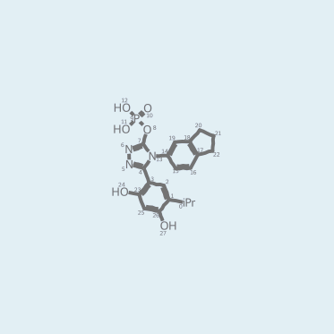 CC(C)c1cc(-c2nnc(OP(=O)(O)O)n2-c2ccc3c(c2)CCC3)c(O)cc1O